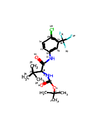 CC(C)(C)OC(=O)NC(C(=O)Nc1ccc(Cl)c(C(F)(F)F)c1)C(C)(C)C